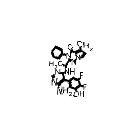 Cc1ccn2nc([C@H](C)Nc3ncnc(N)c3-c3cc(O)c(F)c(F)c3)n(-c3ccccc3)c(=O)c12